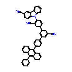 N#Cc1cc(-c2ccc(-c3c4ccccc4c(-c4ccccc4)c4ccccc34)cc2)cc(-c2ccc(-n3c4ccccc4c4cc(C#N)ccc43)c(C#N)c2)c1